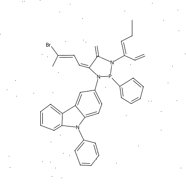 C=C/C(=C\CC)N1C(=C)/C(=C\C=C(/C)Br)N(c2ccc3c(c2)c2ccccc2n3-c2ccccc2)P1c1ccccc1